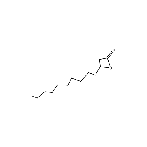 CCCCCCCCCOC1CC(=O)O1